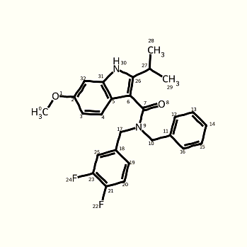 COc1ccc2c(C(=O)N(Cc3ccccc3)Cc3ccc(F)c(F)c3)c(C(C)C)[nH]c2c1